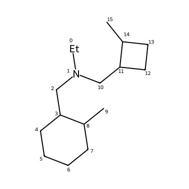 CCN(CC1CCCCC1C)CC1CCC1C